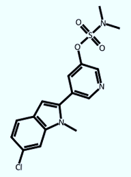 CN(C)S(=O)(=O)Oc1cncc(-c2cc3ccc(Cl)cc3n2C)c1